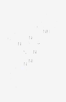 Cc1cccc(/C=N/Nc2nc(N3CCOCC3)c3nc(C(=O)Nc4ccccc4)sc3n2)c1